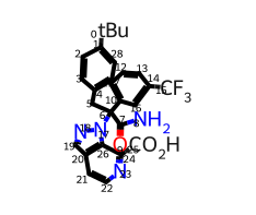 CC(C)(C)c1ccc(CC(C(N)=O)(c2cccc(C(F)(F)F)c2)n2ncc3ccnc(C(=O)O)c32)cc1